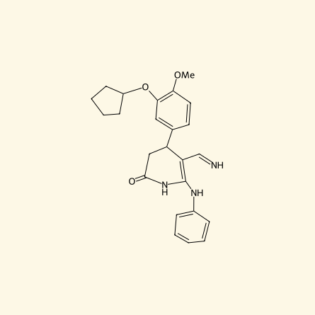 COc1ccc(C2CC(=O)NC(Nc3ccccc3)=C2C=N)cc1OC1CCCC1